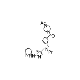 CC(=O)N1CCN(C(=O)c2cccc(CN(Cc3cnc(Nc4ccccn4)s3)C(C)C)c2)CC1